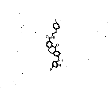 O=C(NCCc1ccc(F)cc1)c1ccc2c(c1)C(=O)c1ccc(Nc3ccc(F)cc3F)cc1CC2